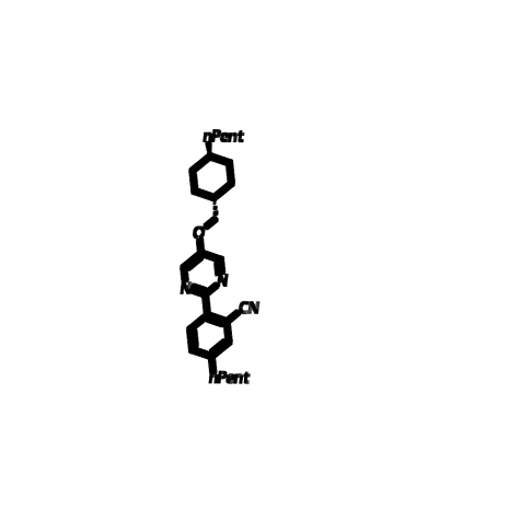 CCCCCc1ccc(-c2ncc(OC[C@H]3CC[C@H](CCCCC)CC3)cn2)c(C#N)c1